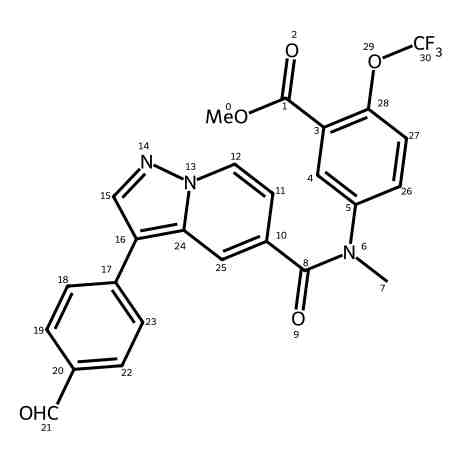 COC(=O)c1cc(N(C)C(=O)c2ccn3ncc(-c4ccc(C=O)cc4)c3c2)ccc1OC(F)(F)F